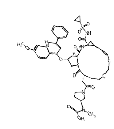 COc1ccc2c(O[C@@H]3C[C@H]4C(=O)N[C@]5(C(=O)NS(=O)(=O)C6CC6)CC5/C=C\CCCCC[C@H](CC(=O)N5CC[C@H](N(C)C(=O)O)C5)C(=O)N4C3)cc(-c3ccccc3)nc2c1